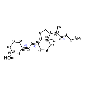 CC(C)C/C=C/[C@H](C)C1CCC2/C(=C/C=C3\CCC[C@@H](O)C3)CCC[C@@]21C